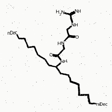 CCCCCCCCCCCCCCCCCC(CCCCCCCCCCCCCCCCC)NC(=O)CNC(=O)CNC(=N)N